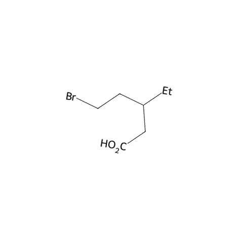 CCC(CCBr)CC(=O)O